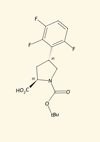 CC(C)(C)OC(=O)N1C[C@@H](c2c(F)ccc(F)c2F)C[C@@H]1C(=O)O